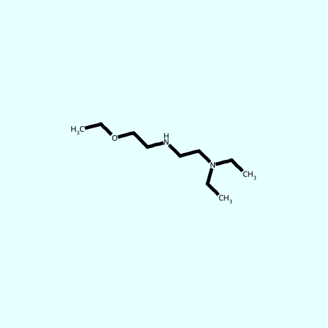 CCOCCNCCN(CC)CC